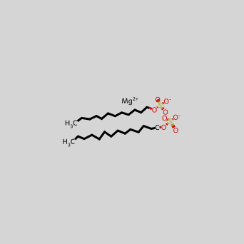 CCCCCCCCCCCCCCOS(=O)(=O)[O-].CCCCCCCCCCCCOS(=O)(=O)[O-].[Mg+2]